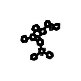 c1ccc(-c2cc(-c3ccccc3)c3c(c2)c2cc(-c4nc(-c5ccccc5)nc(-c5ccccc5)n4)ccc2n3-c2ccc(-c3cccc4c3oc3ccccc34)cc2)cc1